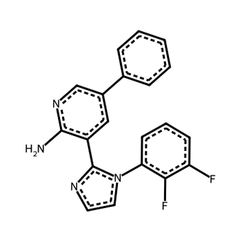 Nc1ncc(-c2ccccc2)cc1-c1nccn1-c1cccc(F)c1F